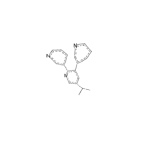 CC(C)c1cnc(-c2cccnc2)c(-c2cccnc2)c1